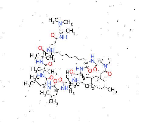 CCCCCCCC[C@H](NC(=O)[C@@H]1CCCN1C(=O)CC12CC(C)CC(CC(C)C1)C2)C(=O)N[C@@H](CC(C)C)C(=O)NC(C)(C)C(=O)N[C@@H](CC(C)C)C(=O)N[C@@H](CC(C)C)C(=O)NC(C)(C)C(=O)NC(C)(C)C(=O)NCCC(=O)N[C@@H](C)CN(C)C